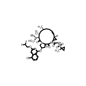 C[C@H]1CC/C=C\[C@@H]2C[C@@]2(C(=O)NS(=O)(=O)C2(C)CC2)NC(=O)[C@@H]2C[C@@H](Oc3nc(OCC(F)F)cc4c(Cl)cccc34)CN2C(=O)[C@@H](N(C(=O)O)C(C)(C)C)[C@H](C)C1